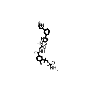 Cc1ccc(C(=O)NCC(=O)Nc2nc(-c3cccc(-c4ccn(C)n4)c3)cs2)cc1C(C)(C)COC(N)=O